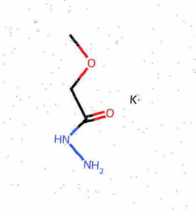 COCC(=O)NN.[K]